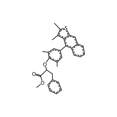 COC(=O)C(Cc1ccccc1)Oc1c(C)cc(-c2c3ccccc3cc3sc(C)c(C)c23)cc1C